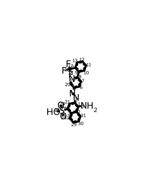 Nc1c(/N=N/c2ccc(-c3ccccc3C(F)(F)F)nc2)cc(S(=O)(=O)O)c2ccccc12